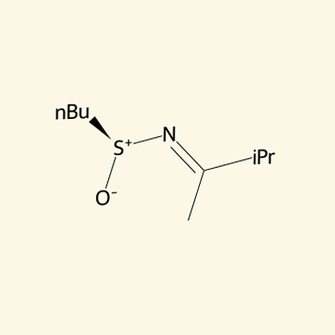 CCCC[S@+]([O-])/N=C(\C)C(C)C